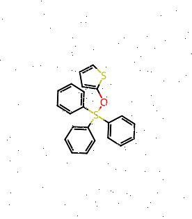 c1ccc(S(Oc2cccs2)(c2ccccc2)c2ccccc2)cc1